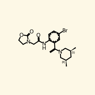 C=C(c1cc(Br)ccc1NC(=O)CN1CCOC1=O)N1C[C@H](C)C[C@H](C)C1